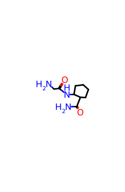 NCC(=O)NC1CCCCC1C(N)=O